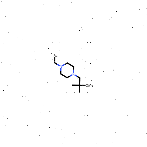 COC(C)(C)CN1CCN(CC(C)=O)CC1